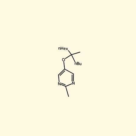 CCCCCCC(C)(CCCC)Oc1cnc(C)nc1